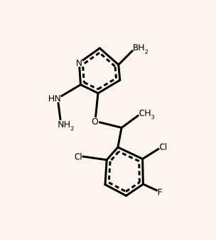 Bc1cnc(NN)c(OC(C)c2c(Cl)ccc(F)c2Cl)c1